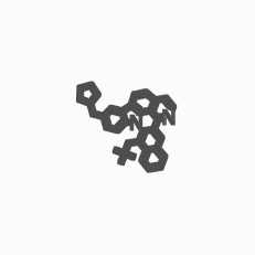 CC(C)(C)Cc1c2ccccc2cc2c3nccc4ccc5c6cc(CC7CCCC7)ccc6n(c12)c5c43